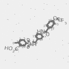 Cc1ccc(S(=O)(=O)NCCc2ccc(NC(=O)c3ccc(OC(F)(F)F)cc3)cc2)cc1C(=O)O